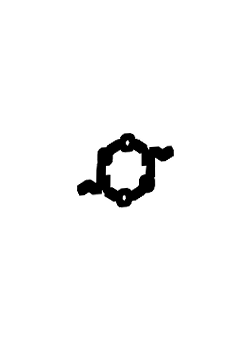 C=CCN1CCOCCOCCN(CC=C)CCOCCOCC1